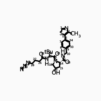 Cc1ncsc1-c1ccc(CNC(=O)[C@@H]2C[C@@H](O)CN2C(=O)[C@@H](NC(=O)CCCN=[N+]=[N-])C(C)(C)C)cc1